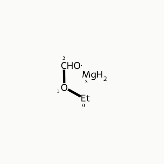 CCO[C]=O.[MgH2]